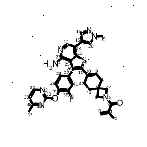 C=C(C)C(=O)N1CC2(CC=C(c3sc4c(-c5cnn(C)c5)cnc(N)c4c3-c3ccc(Oc4nccc(C)n4)c(F)c3)CC2)C1